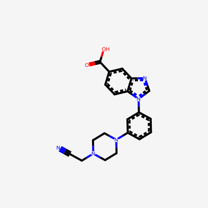 N#CCN1CCN(c2cccc(-n3cnc4cc(C(=O)O)ccc43)c2)CC1